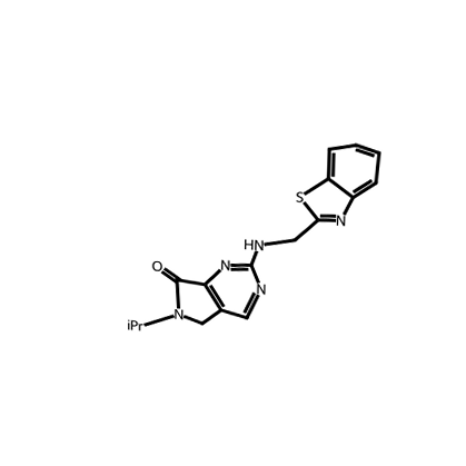 CC(C)N1Cc2cnc(NCc3nc4ccccc4s3)nc2C1=O